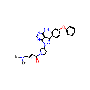 CCN(CC)C/C=C/C(=O)N1CCC(n2nc(-c3ccc(Oc4ccccc4)cc3)c3c(N)ncnc32)C1